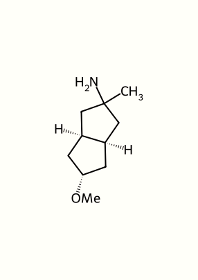 CO[C@H]1C[C@@H]2CC(C)(N)C[C@@H]2C1